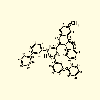 Cc1ccc2nc(C3=NC(c4cccc(-c5ccccc5)c4)NC(c4cccc(-c5ccccc5)c4)=N3)n3c4ccccc4nc3c2c1